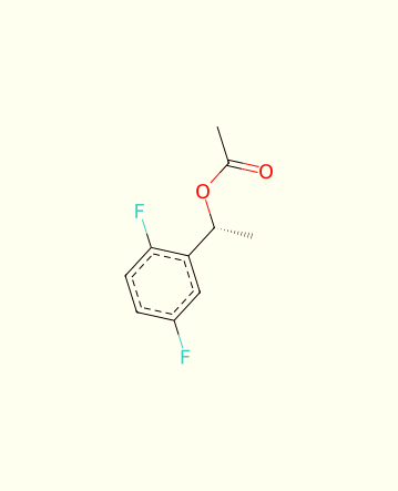 CC(=O)O[C@H](C)c1cc(F)ccc1F